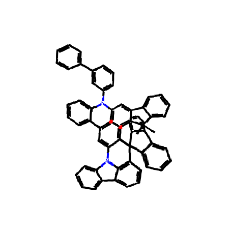 CC1(C)c2ccccc2-c2cc(N(c3cccc(-c4ccccc4)c3)c3ccccc3-c3ccc4c(c3)-n3c5ccccc5c5cccc(c53)C43c4ccccc4-c4ccccc43)ccc21